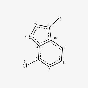 [CH2]c1csc2c(Cl)cccc12